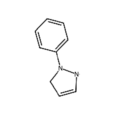 C1=C[N]N(c2ccccc2)C1